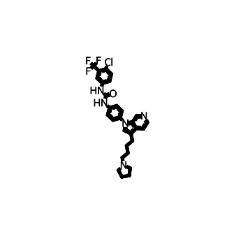 O=C(Nc1ccc(-n2cc(CCCCN3CCCC3)c3ccncc32)cc1)Nc1ccc(Cl)c(C(F)(F)F)c1